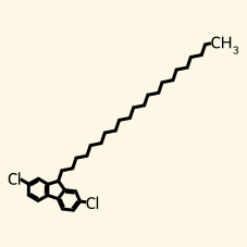 CCCCCCCCCCCCCCCCCCCCCCC1c2cc(Cl)ccc2-c2ccc(Cl)cc21